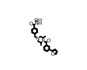 CC1CN(Cc2ccc(C(=O)NO)cc2)CC(C)N1C(=O)c1cccc(-c2ccco2)c1